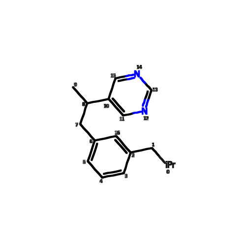 CC(C)Cc1cccc(CC(C)c2cncnc2)c1